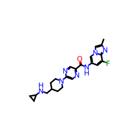 Cc1cn2cc(NC(=O)c3cnc(N4CCC(CNC5CC5)CC4)cn3)cc(F)c2n1